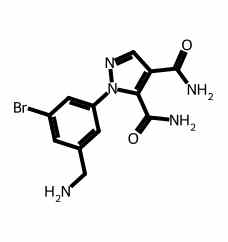 NCc1cc(Br)cc(-n2ncc(C(N)=O)c2C(N)=O)c1